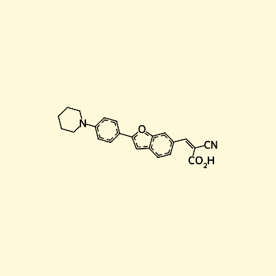 N#CC(=Cc1ccc2cc(-c3ccc(N4CCCCC4)cc3)oc2c1)C(=O)O